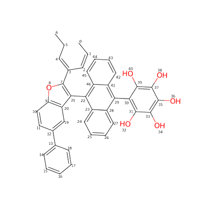 C/C=C\C(=C/CC)c1oc2ccc(-c3ccccc3)cc2c1-c1c2ccccc2c(-c2c(O)c(O)c(O)c(O)c2O)c2ccccc12